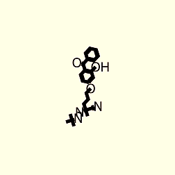 CC(C)(C)N=NC(C)(C#N)CCCOc1ccc(C(=O)c2ccccc2)c(O)c1